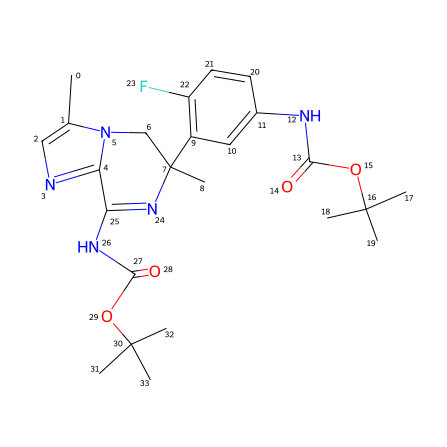 Cc1cnc2n1CC(C)(c1cc(NC(=O)OC(C)(C)C)ccc1F)N=C2NC(=O)OC(C)(C)C